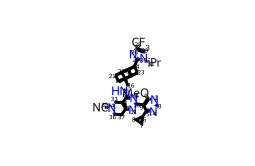 COc1ncnc(C2CC2)c1-c1nc2c(c(NCC34C5C6C3C3C4C5C63c3nc(C(F)(F)F)cn3C(C)C)n1)CN(C#N)CC2